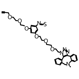 C#CCOCCOCCOc1cc(N=C=S)cc(OCCOCCOCCn2nnc3c2-c2ccccc2CN(C)c2ccccc2-3)c1